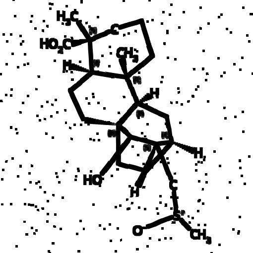 C[S+]([O-])C[C@@H]1C(O)[C@@]23CC[C@@H]1C[C@@H]2[C@@]1(C)CCC[C@](C)(C(=O)O)[C@@H]1CC3